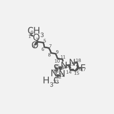 CCOC(=O)CCCCCCCN(c1ccc(F)cn1)c1nc(C)ns1